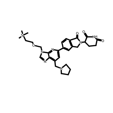 C[Si](C)(C)CCOCn1cnc2c(CN3CCCC3)cc(-c3ccc4c(c3)CN(C3CCC(=O)NC3=O)C4=O)nc21